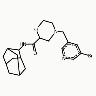 O=C(NC1C2CC3CC(C2)CC1C3)C1CN(Cc2cncc(Br)c2)CCO1